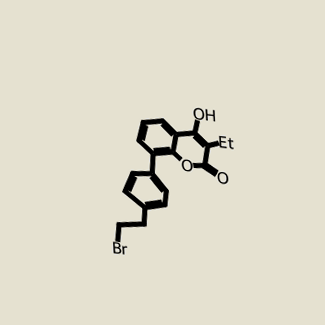 CCc1c(O)c2cccc(-c3ccc(CCBr)cc3)c2oc1=O